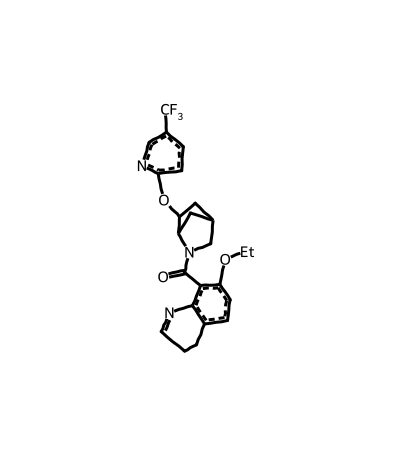 CCOc1ccc2c(c1C(=O)N1CC3CC(Oc4ccc(C(F)(F)F)cn4)C1C3)N=CCC2